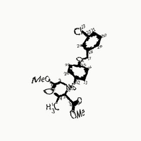 COC(=O)C1C(C)OC(OC)CN1Sc1ccc(OCc2cccc(Cl)c2)cc1